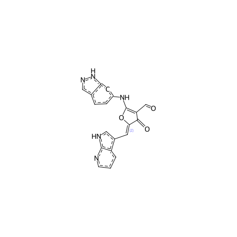 O=CC1=C(Nc2ccc3cn[nH]c3c2)O/C(=C\c2c[nH]c3ncccc23)C1=O